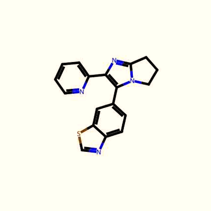 c1ccc(-c2nc3n(c2-c2ccc4ncsc4c2)CCC3)nc1